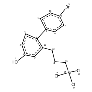 Oc1ccc(-c2ccc(Br)cc2)c(CCC[Si](Cl)(Cl)Cl)c1